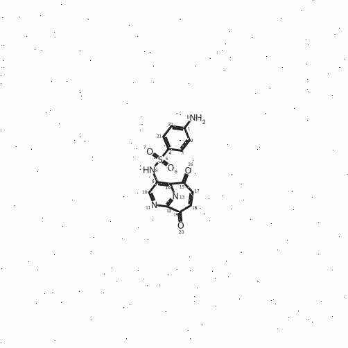 Nc1ccc(S(=O)(=O)Nc2cnc3nc2C(=O)C=CC3=O)cc1